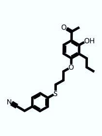 CCCc1c(OCCCSc2ccc(CC#N)cc2)ccc(C(C)=O)c1O